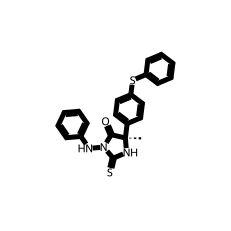 C[C@]1(c2ccc(Sc3ccccc3)cc2)NC(=S)N(Nc2ccccc2)C1=O